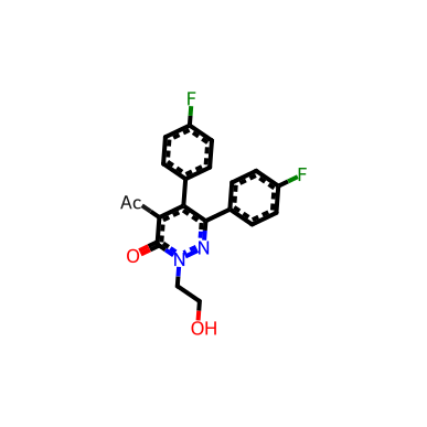 CC(=O)c1c(-c2ccc(F)cc2)c(-c2ccc(F)cc2)nn(CCO)c1=O